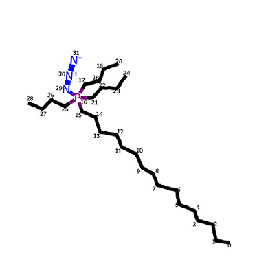 CCCCCCCCCCCCCCCCP(CCCC)(CCCC)(CCCC)N=[N+]=[N-]